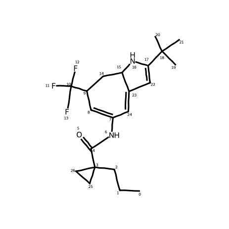 CCCC1(C(=O)NC2=CC(C(F)(F)F)CC3NC(C(C)(C)C)=CC3=C2)CC1